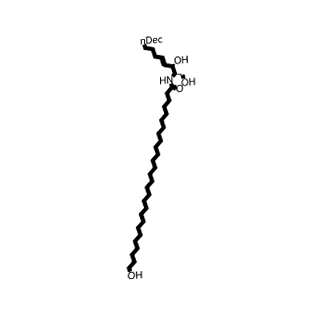 CCCCCCCCCCCCC/C=C/[C@@H](O)[C@H](CO)NC(=O)CCCCCCCCCCCCCCCCCCCCCCCCCCCO